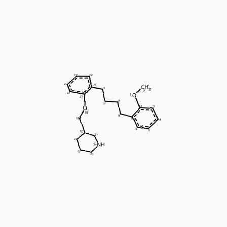 COc1ccccc1CCCCc1ccccc1OCC1CCCNC1